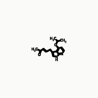 CC(=O)C=CCc1c[nH]c2nccc(OC(C)C)c12